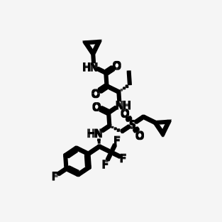 CC[C@H](NC(=O)[C@H](CS(=O)(=O)CC1CC1)N[C@@H](c1ccc(F)cc1)C(F)(F)F)C(=O)C(=O)NC1CC1